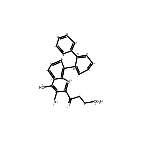 N#Cc1c(O)c(C(=O)CCC(=O)O)nc2c(-c3ccccc3-c3ccccc3)cccc12